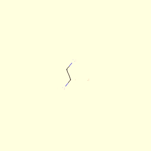 NCCN.[SiH4].[SiH4]